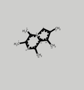 Cc1cn2c(C)c(C)nc(C)c2c1C